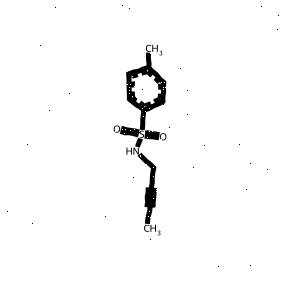 CC#CCNS(=O)(=O)c1ccc(C)cc1